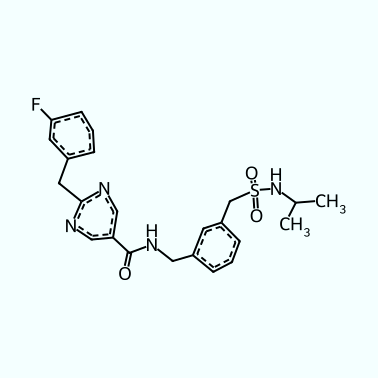 CC(C)NS(=O)(=O)Cc1cccc(CNC(=O)c2cnc(Cc3cccc(F)c3)nc2)c1